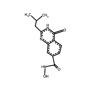 CC(C)Cc1nc2cc(C(=O)NO)ccc2c(=O)[nH]1